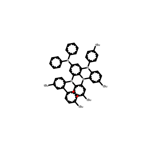 CC(C)(C)c1ccc(-c2cc(C(C)(C)C)ccc2N2c3ccc(C(C)(C)C)cc3B3c4cc(C(C)(C)C)ccc4N(c4ccc(C(C)(C)C)cc4)c4cc(N(c5ccccc5)c5ccccc5)cc2c43)cc1